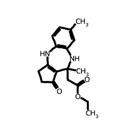 CCOC(=O)CC1(C)Nc2cc(C)ccc2NC2=C1C(=O)CC2